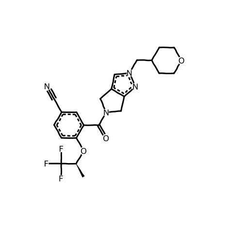 C[C@H](Oc1ccc(C#N)cc1C(=O)N1Cc2cn(CC3CCOCC3)nc2C1)C(F)(F)F